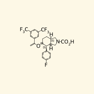 C=C(O[C@@H]1CC[C@@H]2CN(C(=O)O)C[C@@H]2[C@H]1c1ccc(F)cc1)c1cc(C(F)(F)F)cc(C(F)(F)F)c1